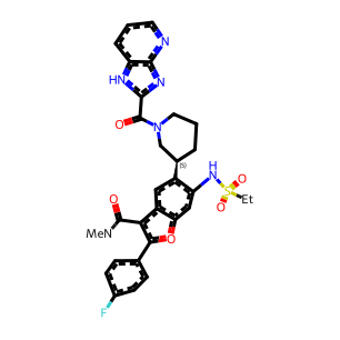 CCS(=O)(=O)Nc1cc2oc(-c3ccc(F)cc3)c(C(=O)NC)c2cc1[C@@H]1CCCN(C(=O)c2nc3ncccc3[nH]2)C1